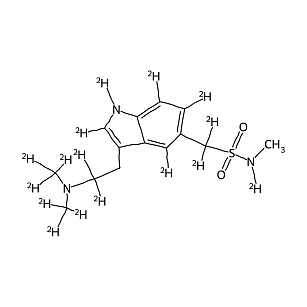 [2H]c1c(C([2H])([2H])S(=O)(=O)N([2H])C)c([2H])c2c(CC([2H])([2H])N(C([2H])([2H])[2H])C([2H])([2H])[2H])c([2H])n([2H])c2c1[2H]